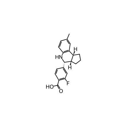 Cc1ccc2c(c1)[C@@H]1CCC[C@@H]1[C@H](c1ccc(C(=O)O)c(F)c1)N2